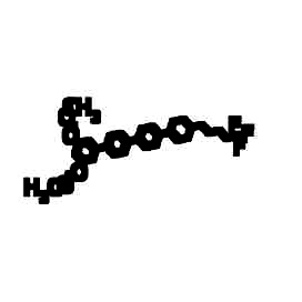 COCOc1cc(OCOC)cc(-c2ccc(-c3ccc(C4=CCC(CCCCC(F)(F)F)CC4)cc3)cc2)c1